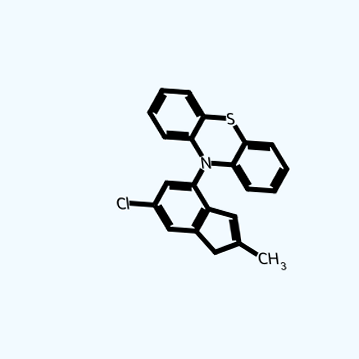 CC1=Cc2c(cc(Cl)cc2N2c3ccccc3Sc3ccccc32)C1